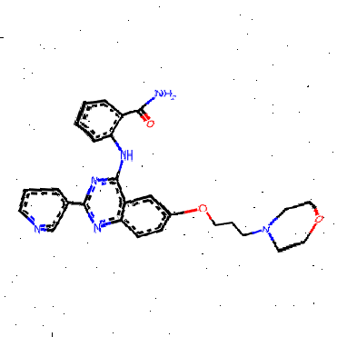 NC(=O)c1ccccc1Nc1nc(-c2cccnc2)nc2ccc(OCCCN3CCOCC3)cc12